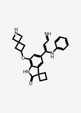 N=C/C=C(\Nc1ccccc1)c1cc(OC2CC3(CNC3)C2)c2c(c1)C1(CCC1)C(=O)N2